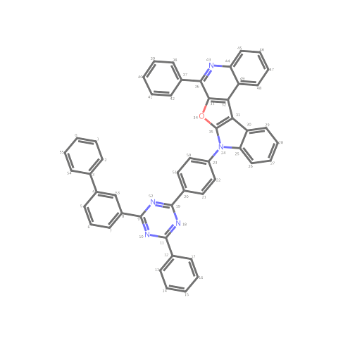 c1ccc(-c2cccc(-c3nc(-c4ccccc4)nc(-c4ccc(-n5c6ccccc6c6c7c(oc65)c(-c5ccccc5)nc5ccccc57)cc4)n3)c2)cc1